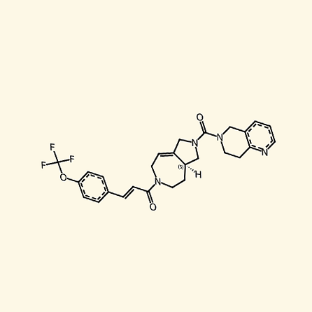 O=C(C=Cc1ccc(OC(F)(F)F)cc1)N1CC=C2CN(C(=O)N3CCc4ncccc4C3)C[C@H]2CC1